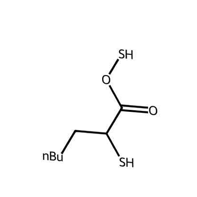 CCCCCC(S)C(=O)OS